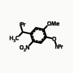 CCCOc1cc([N+](=O)[O-])c(C(C)C(C)C)cc1OC